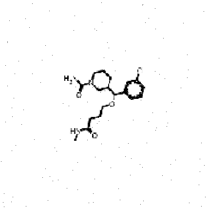 CNC(=O)CCCO[C@@H](c1cccc(Cl)c1)[C@@H]1CCCN(C(N)=O)C1